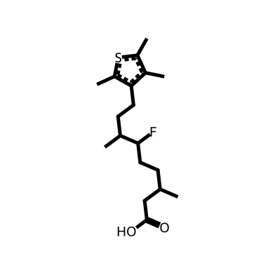 Cc1sc(C)c(CCC(C)C(F)CCC(C)CC(=O)O)c1C